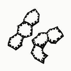 [c]1c2ccccc2cc2ccccc12.[c]1cccc2c1ccc1ccccc12